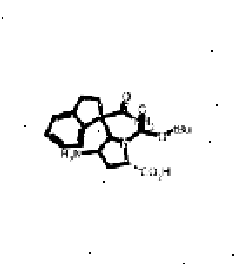 CC(C)(C)OC(=O)N1C(C2(C(N)=O)CCc3ccccc32)C(N)C[C@H]1C(=O)O